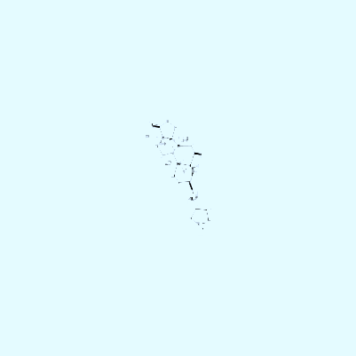 C=C1C[C@@H]2[C@H](CC[C@]3(C)C(=O)CC[C@@H]23)[C@@]2(C)CC/C(=N\O[C@H]3CCNC3)CC12